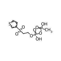 CP(=O)(O)OP(=O)(O)OCCS(=O)(=O)c1ccsc1